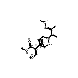 CON=C(C)C(C)N1Oc2c(C)cc1cc2C(=CO)C(=O)OC